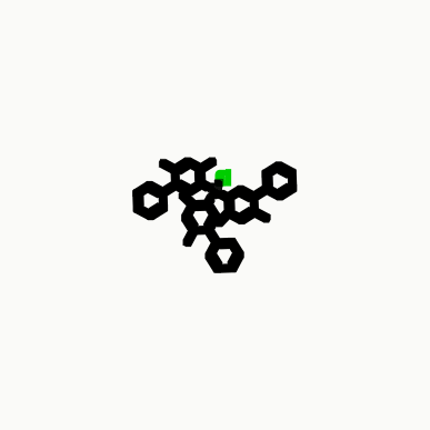 Cc1cc(C)c([Si](Cl)(c2cc(-c3ccccc3)c(C)cc2C)c2cc(-c3ccccc3)c(C)cc2C)cc1-c1ccccc1